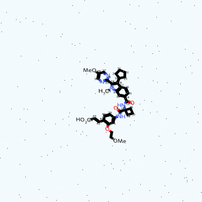 COCCOc1cc(NC(=O)C2(NC(=O)c3ccc4c(C5CCCC5)c(-c5ncc(OC)cn5)n(C)c4c3)CCC2)ccc1C=CC(=O)O